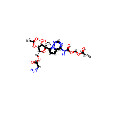 CCC(=O)O[C@H]1[C@@H](O)[C@](C#N)(c2ccc3c(NC(=O)OCOC(=O)C(C)(C)C)ncnn23)O[C@@H]1COC(=O)CN